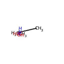 CCCCCCCCCCCCCCCCCCCCCC(=O)NC(CC)C(C)N(O)O